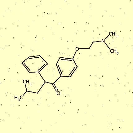 CC(C)CC(C(=O)c1ccc(OCCN(C)C)cc1)c1ccccc1